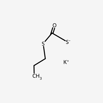 CCCSC(=O)[S-].[K+]